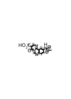 CS(=O)(=O)Nc1ccc2ncn3c(=O)c(C(=O)O)cnc3c2c1